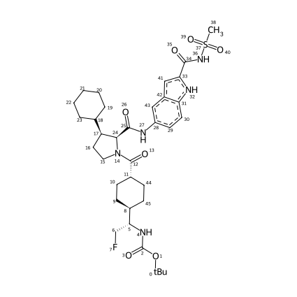 CC(C)(C)OC(=O)N[C@H](CF)[C@H]1CC[C@H](C(=O)N2CC[C@@H](C3CCCCC3)[C@H]2C(=O)Nc2ccc3[nH]c(C(=O)NS(C)(=O)=O)cc3c2)CC1